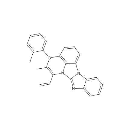 C=CC1=C(C)B(c2ccccc2C)c2cccc3c2n1c1nc2ccccc2n31